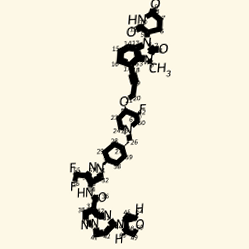 Cn1c(=O)n(C2CCC(=O)NC2=O)c2cccc(C#CCO[C@H]3CCN(C[C@H]4CC[C@H](n5cc(NC(=O)c6cnn7ccc(N8C[C@H]9C[C@@H]8CO9)nc67)c(C(F)F)n5)CC4)C[C@@H]3F)c21